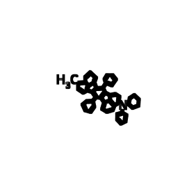 Cc1ccc2c3c(-c4ccccc4)c4c5cccc6c(N(c7ccccc7)C7CCCCC7)ccc(c4c(-c4ccccc4)c3c3cccc1c23)c65